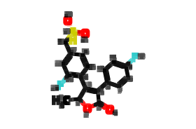 CC1OC(=O)C(c2ccc(F)cc2)=C1c1ccc(C[SH](=O)=O)cc1F